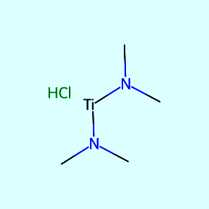 C[N](C)[Ti][N](C)C.Cl